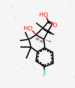 CC1(C)c2cc(F)ccc2[C@](C)(C(C)(C)C)[C@@](O)(C(C)(C)C(=O)O)C1(C)C